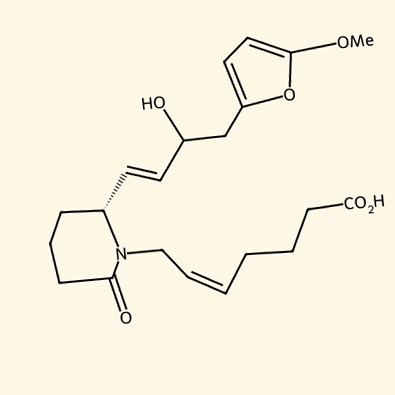 COc1ccc(CC(O)/C=C/[C@H]2CCCC(=O)N2C/C=C\CCCC(=O)O)o1